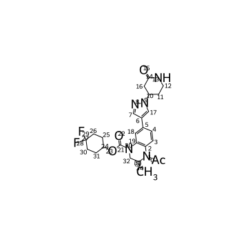 CC(=O)N1c2ccc(-c3cnn(C4CCNC(=O)C4)c3)cc2N(C(=O)OC2CCC(F)(F)CC2)C[C@@H]1C